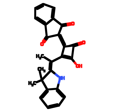 CC(C1=C(O)C(=O)C1=C1C(=O)c2ccccc2C1=O)=C1Nc2ccccc2C1(C)C